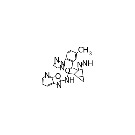 Cc1ccc(-n2nccn2)c(C(=O)C2(N=N)CC3CC3C2CNc2nc3cccnc3o2)c1